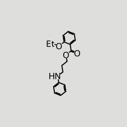 CCOc1ccccc1C(=O)OCCCNc1ccccc1